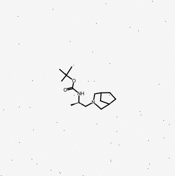 C[C@H](CN1CC2CCC(C2)C1)NC(=O)OC(C)(C)C